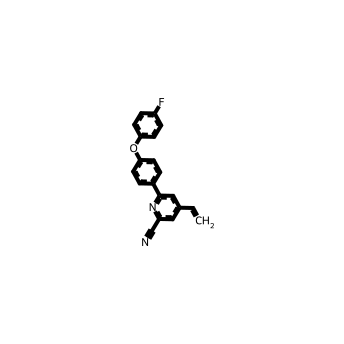 C=Cc1cc(C#N)nc(-c2ccc(Oc3ccc(F)cc3)cc2)c1